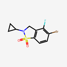 O=S1(=O)c2ccc(Br)c(F)c2CN1C1CC1